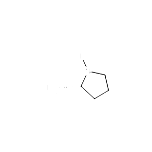 O=C(O)[C@H]1CCCN1F